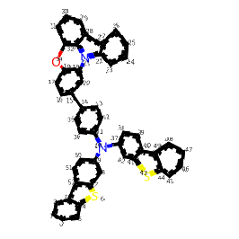 c1ccc2c(c1)sc1cc(N(c3ccc(-c4ccc5c(c4)-n4c6ccccc6c6cccc(c64)O5)cc3)c3ccc4c(c3)sc3ccccc34)ccc12